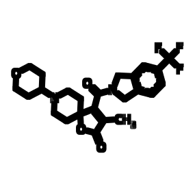 CC1=C(C(=O)N2Cc3ccc(C(F)(F)F)cc3C2)C2(CCN(C3CCOCC3)CC2)OC1=O